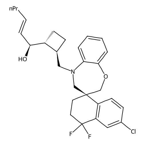 CCC/C=C/[C@H](O)[C@@H]1CC[C@H]1CN1C[C@@]2(CCC(F)(F)c3cc(Cl)ccc32)COc2ccccc21